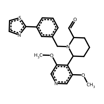 COc1cncc(OC)c1C1CCCC(C=O)N1Cc1cccc(-c2nccs2)c1